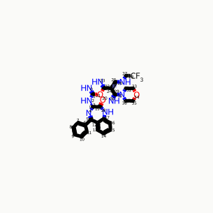 N=C(N[C@@H]1N=C(c2ccccc2)c2ccccc2NC1=O)OC(=N)/C(=C/NCC(F)(F)F)C(=N)N1CCOCC1